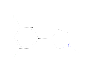 CN1CCC(c2cc(F)cc(F)c2)C1